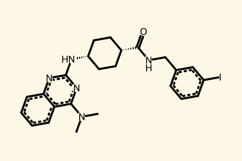 CN(C)c1nc(N[C@H]2CC[C@@H](C(=O)NCc3cccc(I)c3)CC2)nc2ccccc12